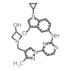 Cc1nn(-c2ccnc(Nc3ccc4c(c3)c(Cl)cn4C3CC3)n2)cc1CN1CC(O)C1